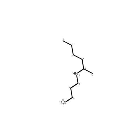 CCCCC(C)NCCCN